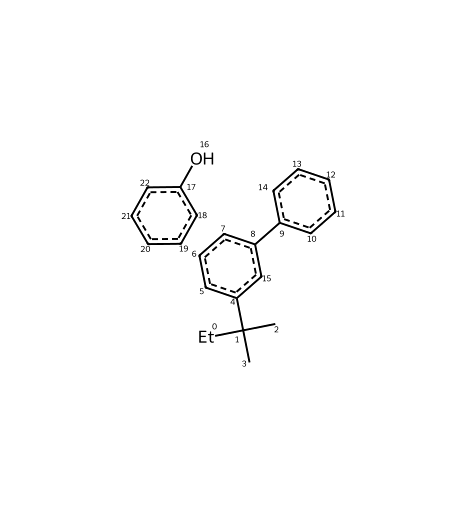 CCC(C)(C)c1cccc(-c2ccccc2)c1.Oc1ccccc1